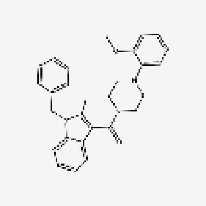 COc1ccccc1N1CCN(C(=O)c2c(C)n(Cc3ccccc3)c3ccccc23)CC1